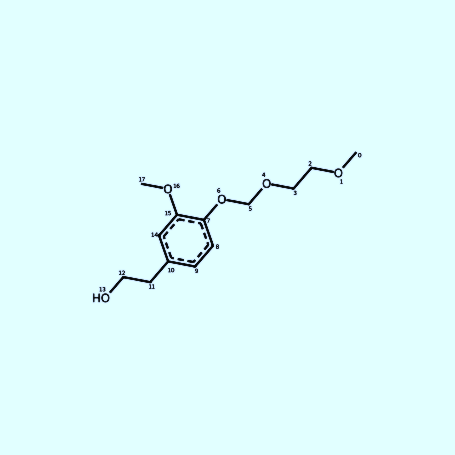 COCCOCOc1ccc(CCO)cc1OC